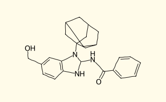 O=C(NC1Nc2ccc(CO)cc2N1C12CC3CC(CC(C3)C1)C2)c1ccccc1